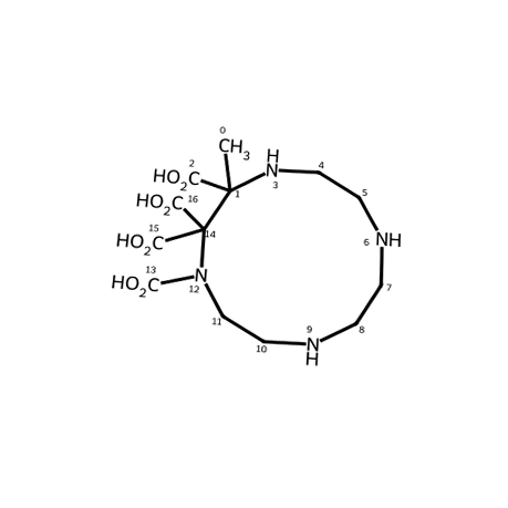 CC1(C(=O)O)NCCNCCNCCN(C(=O)O)C1(C(=O)O)C(=O)O